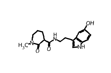 CN1CCCC(C(=O)NCCc2c[nH]c3ccc(O)cc23)C1=O